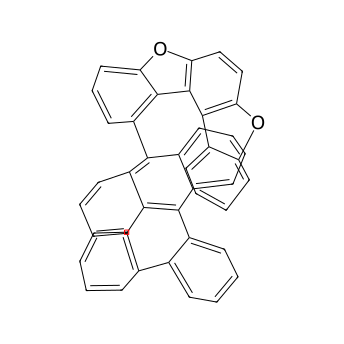 c1ccc(-c2ccccc2-c2c3ccccc3c(-c3cccc4oc5ccc6oc7ccccc7c6c5c34)c3ccccc23)cc1